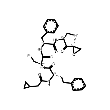 CC(C)C[C@H](NC(=O)[C@H](CCc1ccccc1)NC(=O)CC1CC1)C(=O)N[C@@H](Cc1ccccc1)C(=O)N[C@@H](CC(C)C)C(=O)[C@@]1(C)CO1